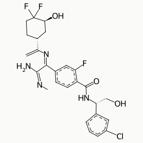 C=C(/N=C(\C(N)=N/C)c1ccc(C(=O)N[C@H](CO)c2cccc(Cl)c2)c(F)c1)[C@@H]1CCC(F)(F)[C@@H](O)C1